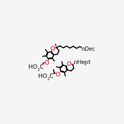 CCCCCCCCCCCCCCCCC[C@]1(C)CCc2c(C)c(OCC(=O)O)c(C)c(C)c2O1.CCCCCCC[C@@H]1CCc2c(C)c(OC(C)C(=O)O)c(C)c(C)c2O1